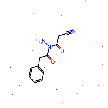 N#CCC(=O)N(N)C(=O)Cc1ccccc1